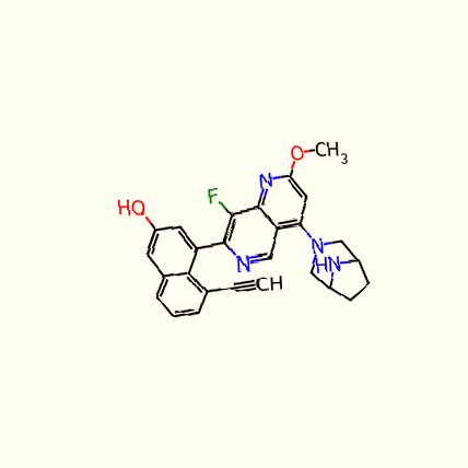 C#Cc1cccc2cc(O)cc(-c3ncc4c(N5CC6CCC(C5)N6)cc(OC)nc4c3F)c12